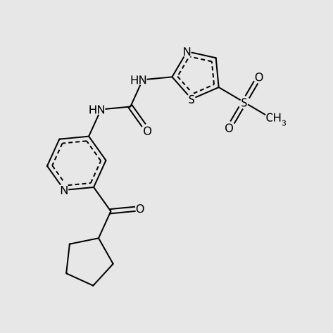 CS(=O)(=O)c1cnc(NC(=O)Nc2ccnc(C(=O)C3CCCC3)c2)s1